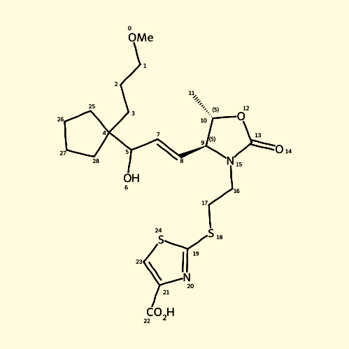 COCCCC1(C(O)C=C[C@H]2[C@H](C)OC(=O)N2CCSc2nc(C(=O)O)cs2)CCCC1